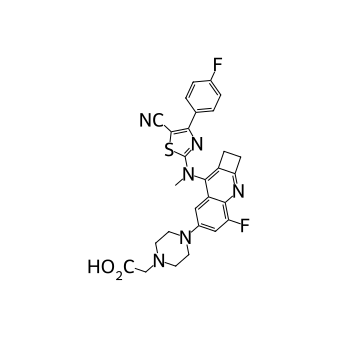 CN(c1nc(-c2ccc(F)cc2)c(C#N)s1)c1c2c(nc3c(F)cc(N4CCN(CC(=O)O)CC4)cc13)CC2